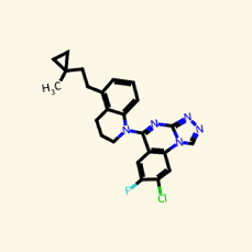 CC1(CCc2cccc3c2CCCN3c2nc3nncn3c3cc(Cl)c(F)cc23)CC1